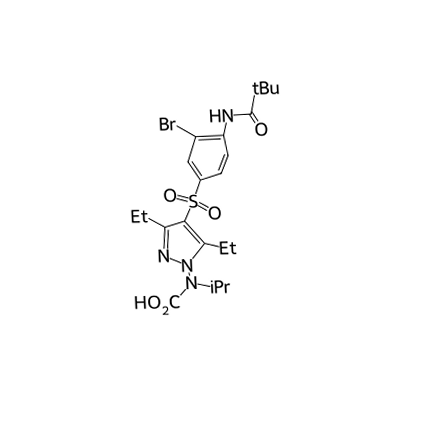 CCc1nn(N(C(=O)O)C(C)C)c(CC)c1S(=O)(=O)c1ccc(NC(=O)C(C)(C)C)c(Br)c1